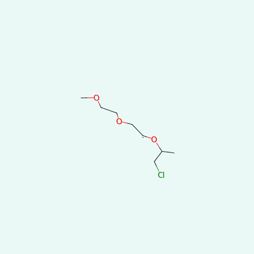 COCCOC[CH]OC(C)CCl